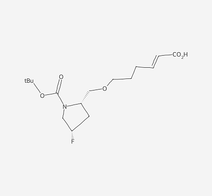 CC(C)(C)OC(=O)N1C[C@@H](F)C[C@H]1COCCCC=CC(=O)O